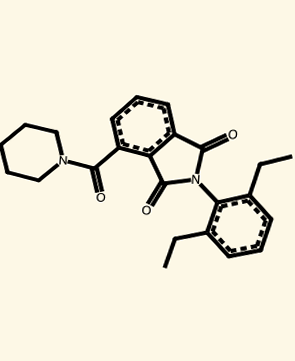 CCc1cccc(CC)c1N1C(=O)c2cccc(C(=O)N3CCCCC3)c2C1=O